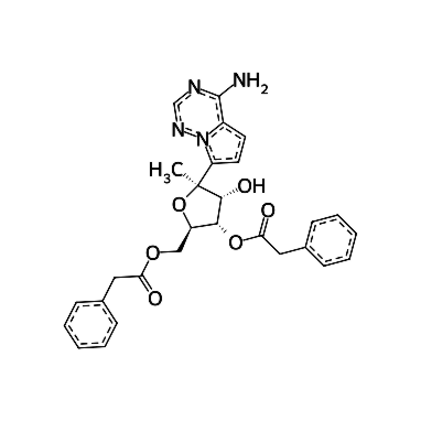 C[C@@]1(c2ccc3c(N)ncnn23)O[C@H](COC(=O)Cc2ccccc2)[C@@H](OC(=O)Cc2ccccc2)[C@H]1O